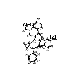 Cc1ccc(C(=O)N(CCCN)C(c2nc3cc(Cl)ccc3nc2Cc2ccccc2)C2CC2)cc1.Cl